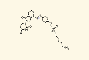 NCCCCCCNC(=O)COc1ccc(/N=N/c2cccc3c2CN(C2CCC(=O)NC2=O)C3=O)cc1